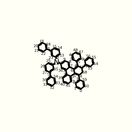 c1ccc(C2=c3c(c4ccc(N(c5cccc(-c6ccccc6)c5)c5cccc(-c6ccccc6)c5)cc4c4ccccc34)=C(c3ccccc3)C(c3ccccc3)C2)cc1